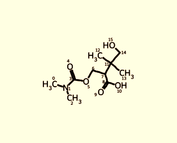 CN(C)C(=O)OCC(C(=O)O)C(C)(C)CO